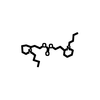 CCCCN1CCCCC1CCOC(=O)OCCC1CCCCN1CCCC